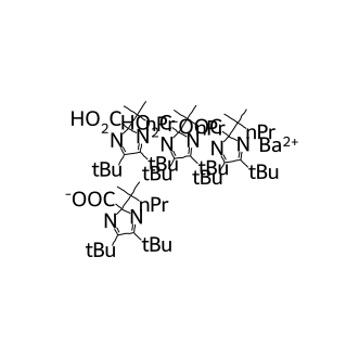 CCCC(C)(C)C1(C(=O)O)N=C(C(C)(C)C)C(C(C)(C)C)=N1.CCCC(C)(C)C1(C(=O)O)N=C(C(C)(C)C)C(C(C)(C)C)=N1.CCCC(C)(C)C1(C(=O)[O-])N=C(C(C)(C)C)C(C(C)(C)C)=N1.CCCC(C)(C)C1(C(=O)[O-])N=C(C(C)(C)C)C(C(C)(C)C)=N1.[Ba+2]